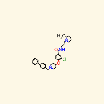 CC1CCCCN1CCCNC(=O)c1ccc(OC2CCN(Cc3ccc(-c4ccccc4)cc3)CC2)c(Cl)c1